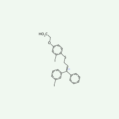 O=C(O)COc1ccc(SC/C=C(/c2ccccc2)c2cccc(I)c2)c(I)c1